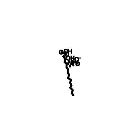 CCCCCCCCCCCCC(CC(O)CS(=O)(=O)O)[N+](C)(C)C(C)(C)C(=O)[O-]